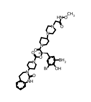 Bc1cc(C[C@@H](OC(=O)N2CCC(N3CCc4ccccc4NC3=O)CC2)C(=O)N2CCC(N3CCN(CC(=O)NOC)CC3)CC2)cc(Br)c1O